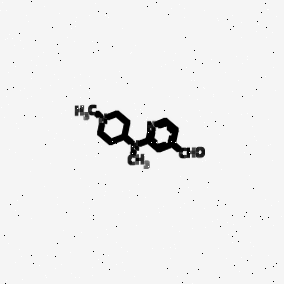 CN1CCC(N(C)c2cc(C=O)ccn2)CC1